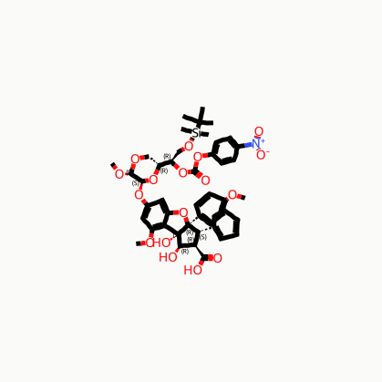 COc1ccc([C@@]23Oc4cc(O[C@@H]5O[C@@H]([C@@H](CO[Si](C)(C)C(C)(C)C)OC(=O)Oc6ccc([N+](=O)[O-])cc6)CO[C@H]5OC)cc(OC)c4[C@]2(O)[C@H](O)[C@H](C(=O)O)[C@H]3c2ccccc2)cc1